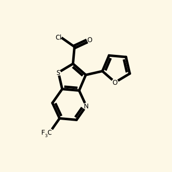 O=C(Cl)c1sc2cc(C(F)(F)F)cnc2c1-c1ccco1